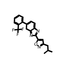 CC(C)Cc1cc(C2=NC3=CC=C(c4ccccc4C(F)(F)F)CC3=N2)on1